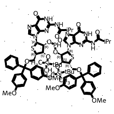 COc1ccc(C(OC[C@H]2S[C@@H](n3cnc4c(=O)[nH]c(NC(=O)C(C)C)nc43)[C@H](O[PH](=O)O[C@@H]3[C@H](O[Si](C)(C)C(C)(C)C)[C@@H](COC(c4ccccc4)(c4ccc(OC)cc4)c4ccc(OC)cc4)S[C@H]3n3cnc4c(=O)[nH]c(NC(=O)C(C)C)nc43)[C@@H]2O[Si](C)(C)C(C)(C)C)(c2ccccc2)c2ccc(OC)cc2)cc1